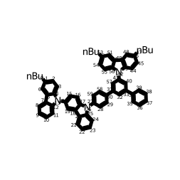 CCCCc1ccc2c(c1)c1ccccc1n2-c1ccc2c(c1)c1ccccc1n2-c1ccc(-c2cc(-c3ccccc3)cc(-n3c4ccc(CCCC)cc4c4cc(CCCC)ccc43)c2)cc1